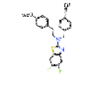 C#Cc1ccc(CN(CCc2ccc(OC)cc2)c2nc3cc(F)c(F)cc3s2)cc1